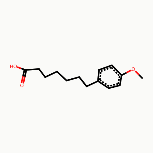 COc1ccc(CCCCCCC(=O)O)cc1